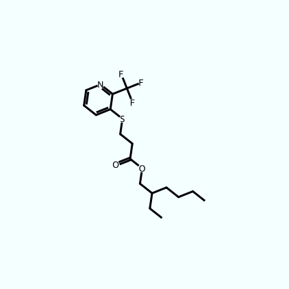 CCCCC(CC)COC(=O)CCSc1cccnc1C(F)(F)F